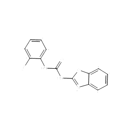 O=C(Nc1nc2ccccc2o1)Nc1ccccc1F